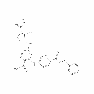 C=CC(=O)N1CC[C@@H](N(C)c2cnc(C(N)=O)c(Nc3ccc(C(=O)OCc4ccccc4)cc3)n2)[C@H]1C